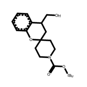 CC(C)(C)OC(=O)N1CCC2(CC1)CC(CO)c1ccccc1O2